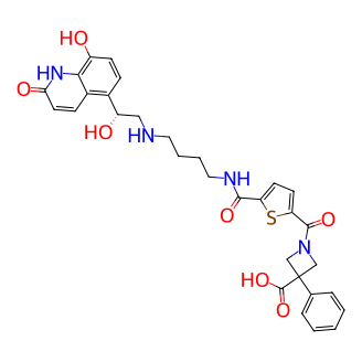 O=C(NCCCCNC[C@H](O)c1ccc(O)c2[nH]c(=O)ccc12)c1ccc(C(=O)N2CC(C(=O)O)(c3ccccc3)C2)s1